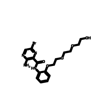 Nc1ncc(Br)nc1C(=O)Nc1ccccc1OCCOCCOCCO